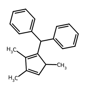 CC1=CC(C)C(C(c2ccccc2)c2ccccc2)=C1C